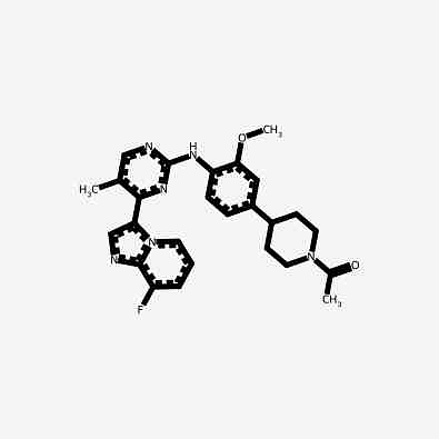 COc1cc(C2CCN(C(C)=O)CC2)ccc1Nc1ncc(C)c(-c2cnc3c(F)cccn23)n1